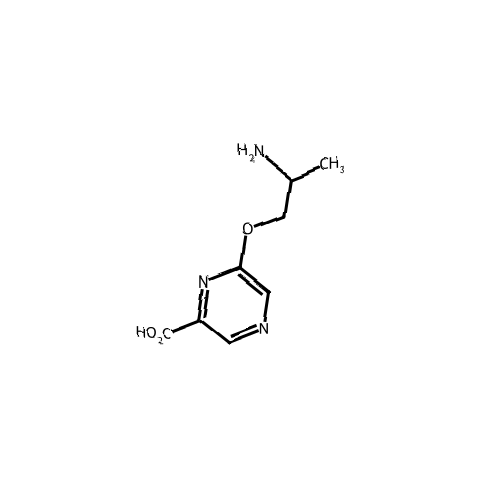 CC(N)COc1cncc(C(=O)O)n1